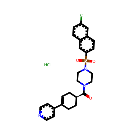 Cl.O=C([C@@H]1CC=C(c2ccncc2)CC1)N1CCN(S(=O)(=O)c2ccc3cc(Cl)ccc3c2)CC1